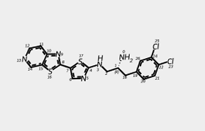 N[C@@H](CNc1ncc(-c2nc3ccncc3s2)s1)Cc1ccc(Cl)c(Cl)c1